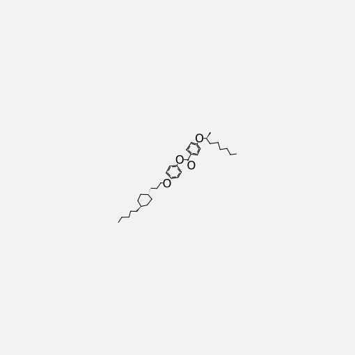 CCCCCC[C@H](C)Oc1ccc(C(=O)Oc2ccc(OCCC[C@H]3CC[C@H](CCCCC)CC3)cc2)cc1